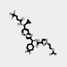 O=C(CCC(F)(F)F)N[C@@H](c1cnn2cc([C@@H](NC(=O)c3cnn(CCOC(F)F)n3)C3CCC(F)(F)CC3)nc2c1)C1CC1